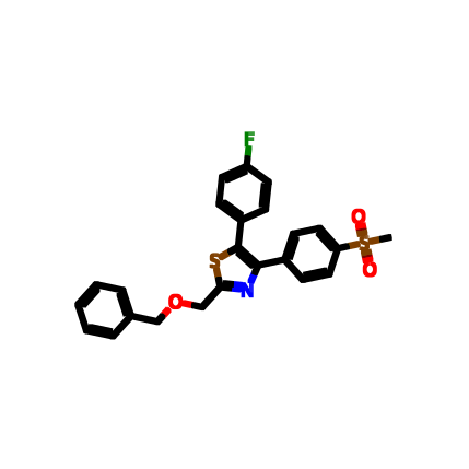 CS(=O)(=O)c1ccc(-c2nc(COCc3ccccc3)sc2-c2ccc(F)cc2)cc1